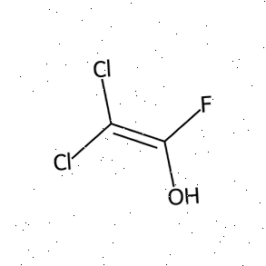 OC(F)=C(Cl)Cl